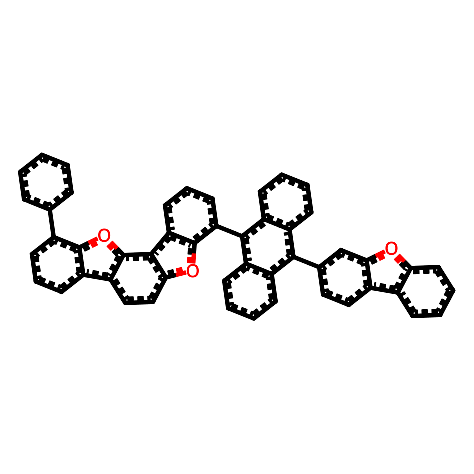 c1ccc(-c2cccc3c2oc2c3ccc3oc4c(-c5c6ccccc6c(-c6ccc7c(c6)oc6ccccc67)c6ccccc56)cccc4c32)cc1